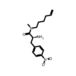 C=CCCCCN(C)C(=O)[C@@H](N)Cc1ccc([N+](=O)[O-])cc1